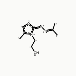 CC(C)=NN=c1scc(C)n1CCO